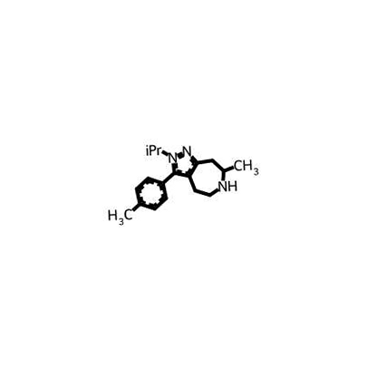 Cc1ccc(-c2c3c(nn2C(C)C)CC(C)NCC3)cc1